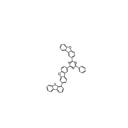 c1ccc(-c2nc(-c3ccc4oc5ccccc5c4c3)nc(-c3ccc4oc5cc(-c6cccc7c6sc6ccccc67)ccc5c4c3)n2)cc1